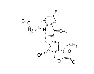 CCC1(O)C(=C=O)OCC2=C1C=C1C3=C(CN1C2=C=O)N1c2c(cc(F)cc2C3=C=O)CC1/C=N\OC